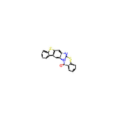 O=c1c2ccccc2sc2nc3cc4sc5ccccc5c4cc3n12